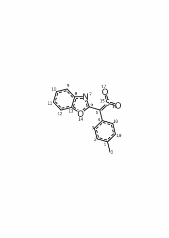 Cc1ccc(C(c2nc3ccccc3o2)=S(=O)=O)cc1